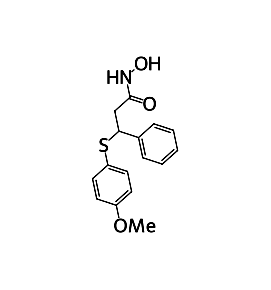 COc1ccc(SC(CC(=O)NO)c2ccccc2)cc1